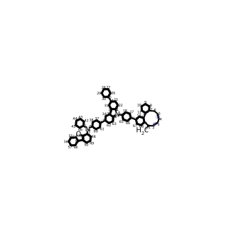 C=C1/C=C\C=C/Cc2ccccc2-c2cc(-c3ccc(-n4c5ccc(-c6ccccc6)cc5c5cc(-c6ccc(N(c7ccccc7)c7cccc8c7oc7ccccc78)cc6)ccc54)cc3)ccc21